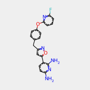 Nc1ccc(-c2cc(Cc3ccc(Oc4cccc(F)n4)cc3)no2)c(N)n1